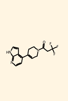 O=C(CC(F)(F)F)N1CC=C(c2ccnc3[nH]ccc23)CC1